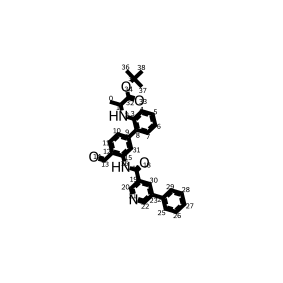 CC(Nc1ccccc1-c1ccc(C=O)c(NC(=O)c2cncc(-c3ccccc3)c2)c1)C(=O)OC(C)(C)C